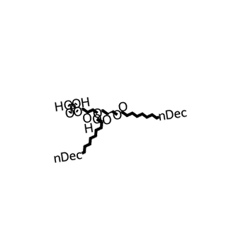 CCCCCCCCCCCCCCCCCC(=O)OC[C@H](COC[C@@H](O)COP(=O)(O)O)OC(=O)CCCCCCCCCCCCCCCCC